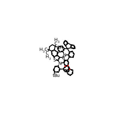 CC(C)(C)c1ccc(N2c3sc4cc5c(cc4c3B3c4c(cc6c(sc7ccccc76)c42)-c2cccc4c2N3c2ccccc2C42c3ccccc3-c3ccccc32)C(C)(C)CCC5(C)C)c(-c2ccccc2)c1